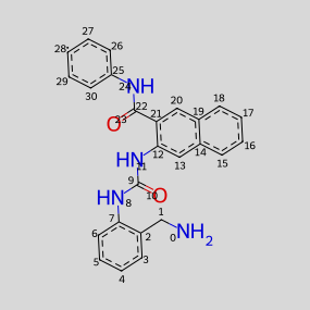 NCc1ccccc1NC(=O)Nc1cc2ccccc2cc1C(=O)Nc1cc[c]cc1